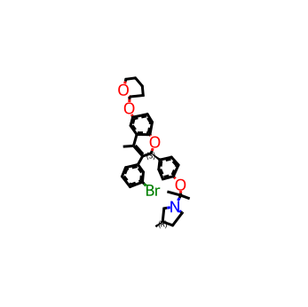 CC1=C(c2cccc(Br)c2)[C@H](c2ccc(OC(C)(C)N3CC[C@@H](C)C3)cc2)Oc2ccc(OC3CCCCO3)cc21